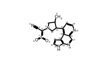 CC1CN(C(C#N)=S(=O)=O)CC1c1ccnc2cnc3[nH]ccc3c12